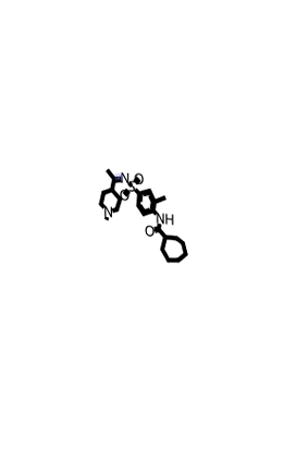 C/C(=N/S(=O)(=O)c1ccc(NC(=O)C2CCCCCC2)c(C)c1)C1CCN(C)CC1